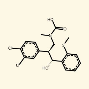 CSc1ccccc1[C@H](O)[C@H](CN(C)C(=O)O)c1ccc(Cl)c(Cl)c1